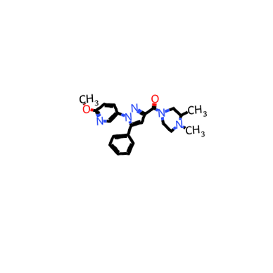 COc1ccc(-n2nc(C(=O)N3CCN(C)C(C)C3)cc2-c2ccccc2)cn1